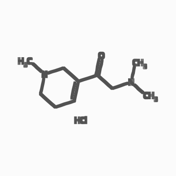 CN(C)CC(=O)C1=CCCN(C)C1.Cl